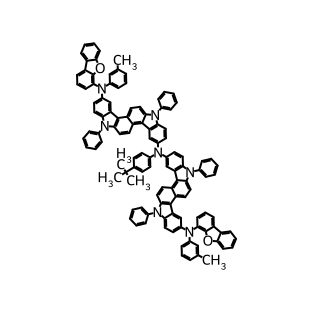 Cc1cccc(N(c2ccc3c(c2)c2c4ccc5c(c4ccc2n3-c2ccccc2)c2cc(N(c3ccc(C(C)(C)C)cc3)c3ccc4c(c3)c3c6ccc7c(c6ccc3n4-c3ccccc3)c3cc(N(c4cccc(C)c4)c4cccc6c4oc4ccccc46)ccc3n7-c3ccccc3)ccc2n5-c2ccccc2)c2cccc3c2oc2ccccc23)c1